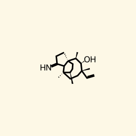 C=C[C@]1(C)CC[C@@]2(C)C3C(=N)CC[C@@]3(CC[C@H]2C)[C@@H](C)[C@@H]1O